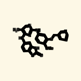 COc1ccc(Nc2ncc(C)c(Nc3ccc4oc(=O)[nH]c4c3)n2)cc1OCc1cccnc1